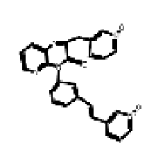 O=c1c(Cc2ccc[n+]([O-])c2)nc2cccnc2n1-c1cccc(/C=C/c2ccc[n+]([O-])c2)c1